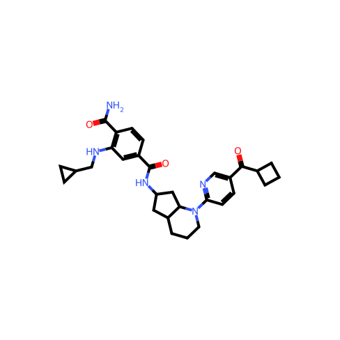 NC(=O)c1ccc(C(=O)NC2CC3CCCN(c4ccc(C(=O)C5CCC5)cn4)C3C2)cc1NCC1CC1